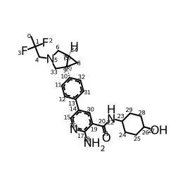 CC(F)(F)CN1C[C@H]2C[C@@]2(c2ccc(-c3cnc(N)c(C(=O)NC4CCC(O)CC4)c3)cc2)C1